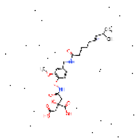 COc1cc(CNC(=O)CCCC/C=C/C(C)C)ccc1ONC(=O)CC(O)(CC(=O)O)C(=O)O